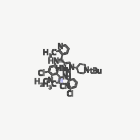 C=Nc1c(Cl)cc(N[C@H](C2=CN(C3CCN(C(C)(C)C)CC3)NN2)c2cccnc2C)cc1/C(Nc1cccc(Cl)c1)=C(\C)C#N